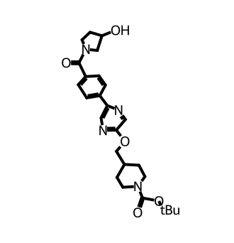 CC(C)(C)OC(=O)N1CCC(COc2cnc(-c3ccc(C(=O)N4CCC(O)C4)cc3)cn2)CC1